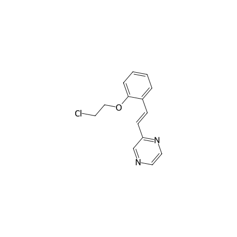 ClCCOc1ccccc1C=Cc1cnccn1